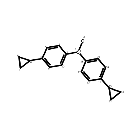 [O-][S+](c1ccc(C2CC2)cc1)c1ccc(C2CC2)cc1